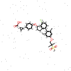 Cc1cc(OCC(C)(C)S(C)(=O)=O)cc(C)c1-c1ccc(F)c2c1CC[C@H]2Oc1ccc([C@H]2C[C@@H]2C(=O)O)cc1